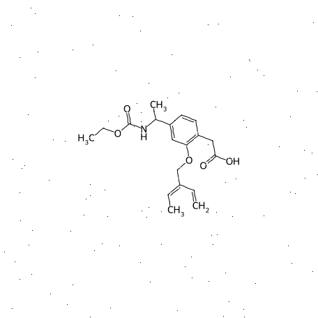 C=C/C(=C\C)COc1cc(C(C)NC(=O)OCC)ccc1CC(=O)O